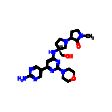 CN1CCC(N2CC[C@](CO)(Nc3cc(-c4cnc(N)nc4)nc(N4CCOCC4)n3)C2)C1=O